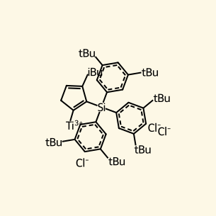 CCC(C)C1=CC[C]([Ti+3])=C1[Si](c1cc(C(C)(C)C)cc(C(C)(C)C)c1)(c1cc(C(C)(C)C)cc(C(C)(C)C)c1)c1cc(C(C)(C)C)cc(C(C)(C)C)c1.[Cl-].[Cl-].[Cl-]